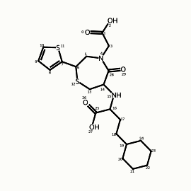 O=C(O)CN1CC(c2cccs2)SCC(NC(CCC2CCCCC2)C(=O)O)C1=O